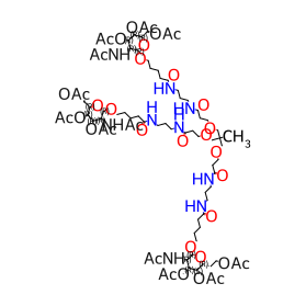 CC(=O)N[C@H]1[C@H](OCCCCC(=O)NCCCNC(=O)CCOCC(C)(COCCC(=O)NCCCNC(=O)CCCCO[C@@H]2O[C@H](COC(C)=O)[C@H](OC(C)=O)[C@H](OC(C)=O)[C@H]2NC(C)=O)COCCC(=O)NCCCNC(=O)CCCCO[C@@H]2O[C@H](COC(C)=O)[C@H](OC(C)=O)[C@H](OC(C)=O)[C@H]2NC(C)=O)O[C@H](CCOC(C)=O)[C@H](OC(C)=O)[C@@H]1OC(C)=O